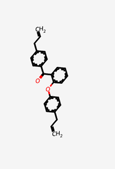 C=CCc1ccc(Oc2ccccc2C(=O)c2ccc(CC=C)cc2)cc1